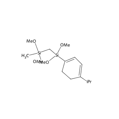 CO[Si](C)(C[Si](OC)(OC)C1=CC=C(C(C)C)CC1)OC